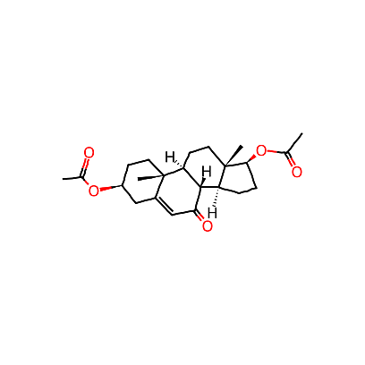 CC(=O)O[C@H]1CC[C@@]2(C)C(=CC(=O)[C@H]3[C@@H]4CC[C@H](OC(C)=O)[C@@]4(C)CC[C@@H]32)C1